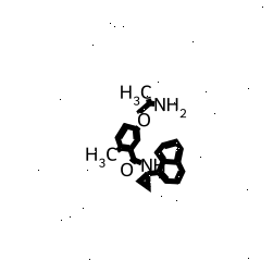 Cc1ccc(OCC(C)N)cc1C(=O)NC1(c2cccc3ccccc23)CC1